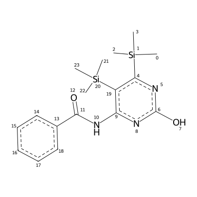 C[Si](C)(C)c1nc(O)nc(NC(=O)c2ccccc2)c1[Si](C)(C)C